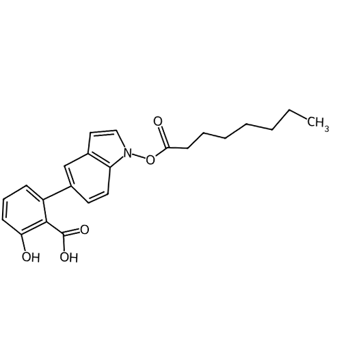 CCCCCCCC(=O)On1ccc2cc(-c3cccc(O)c3C(=O)O)ccc21